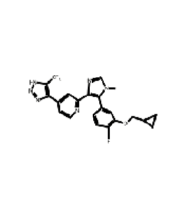 Cn1cnc(-c2cc(-c3nn[nH]c3C(F)(F)F)ccn2)c1-c1ccc(F)c(OCC2CC2)c1